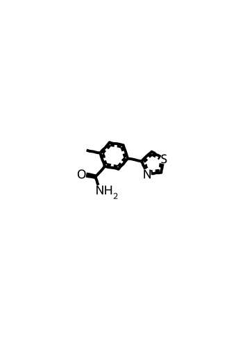 Cc1ccc(-c2cscn2)cc1C(N)=O